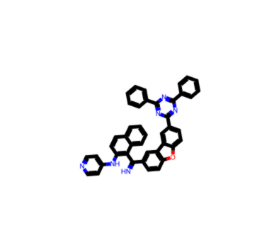 N=C(c1ccc2oc3ccc(-c4nc(-c5ccccc5)nc(-c5ccccc5)n4)cc3c2c1)c1c(Nc2ccncc2)ccc2ccccc12